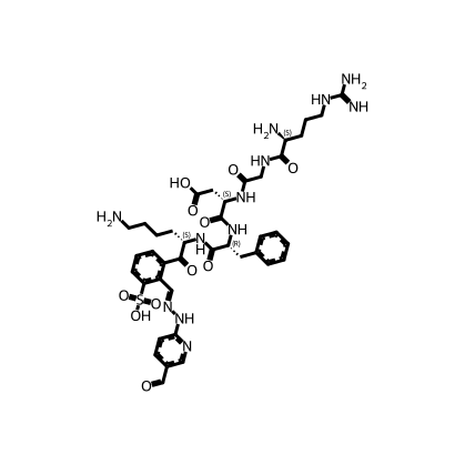 N=C(N)NCCC[C@H](N)C(=O)NCC(=O)N[C@@H](CC(=O)O)C(=O)N[C@H](Cc1ccccc1)C(=O)N[C@@H](CCCCN)C(=O)c1cccc(S(=O)(=O)O)c1C=NNc1ccc(C=O)cn1